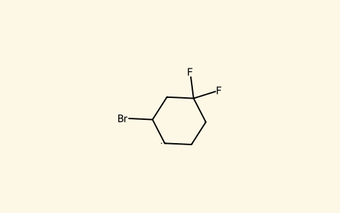 FC1(F)CC[CH]C(Br)C1